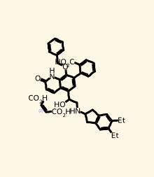 CCc1cc2c(cc1CC)CC(NCC(O)c1cc(-c3ccccc3C(=O)O)c(OCc3ccccc3)c3[nH]c(=O)ccc13)C2.O=C(O)/C=C\C(=O)O